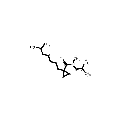 CC(C)CCCCCC1(C(=O)N(C)CC(C)C)CC1